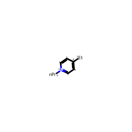 CCC[n+]1ccc(CC)cc1